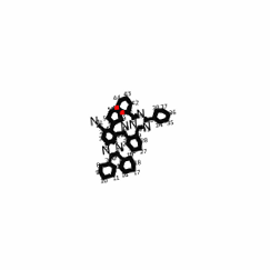 N#Cc1cc2nc(-c3ccccc3)c(-c3ccccc3)nc2c2c(-c3ccccc3-c3nc(-c4ccccc4)nc(-c4ccccc4)n3)nc3ccccc3c12